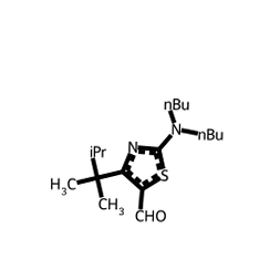 CCCCN(CCCC)c1nc(C(C)(C)C(C)C)c(C=O)s1